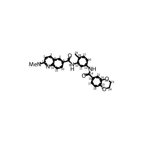 CNc1ccc2cc(C(=O)Nc3cc(NC(=O)c4ccc5c(c4)OCCO5)ccc3C)ccc2n1